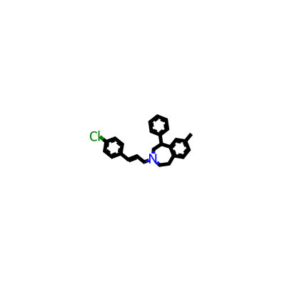 Cc1ccc2c(c1)C(c1ccccc1)CN(C/C=C/c1ccc(Cl)cc1)CC2